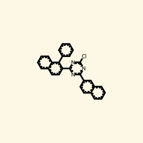 Clc1nc(-c2ccc3ccccc3c2)nc(-c2ccc3ccccc3c2-c2ccccc2)n1